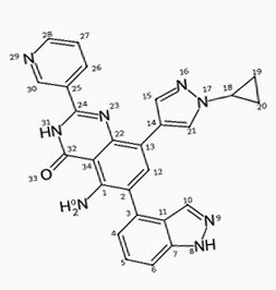 Nc1c(-c2cccc3[nH]ncc23)cc(-c2cnn(C3CC3)c2)c2nc(-c3cccnc3)[nH]c(=O)c12